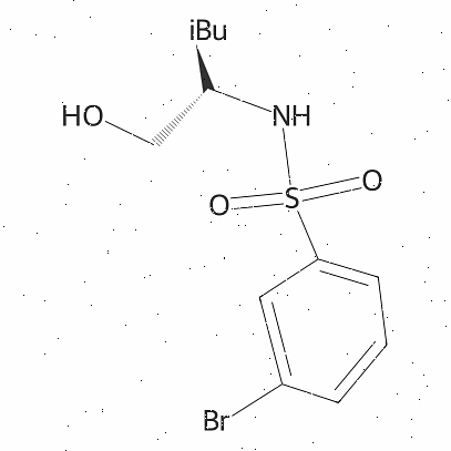 CC[C@H](C)[C@@H](CO)NS(=O)(=O)c1cccc(Br)c1